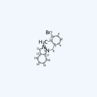 Cc1c(Br)cccc1Cn1ncc2ccccc21